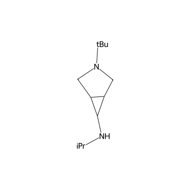 CC(C)NC1C2CN(C(C)(C)C)CC21